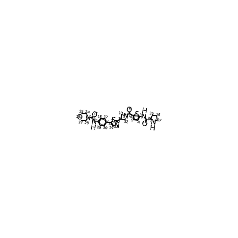 O=C(Nc1ccc(C(=O)N2CC(c3ncc(-c4ccc(NC(=O)N5CCOCC5)cc4)s3)C2)s1)[C@@H]1CCCN1